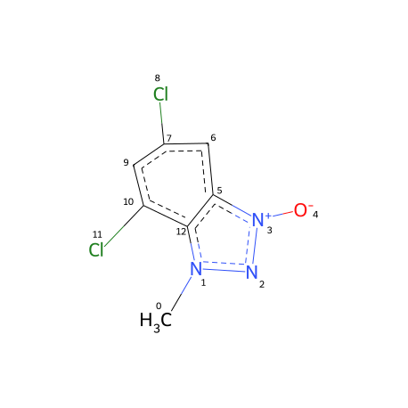 Cn1n[n+]([O-])c2cc(Cl)cc(Cl)c21